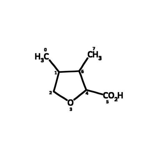 CC1COC(C(=O)O)C1C